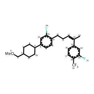 COCC1CCC(c2ccc(CCC=C(C)c3ccc(C(F)(F)F)c(F)c3)c(F)c2)CC1